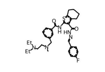 CCN(CC)CCN(C)Cc1cccc(C(=O)Nc2sc3c(c2C(=O)N/N=C/c2ccc(F)cc2)CCCC3)c1